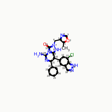 Cc1ocnc1Cn1[nH]c2c(-c3cc(Cl)c4[nH]ncc4c3)c(-c3ccccc3)nc(N)[n+]2c1=O